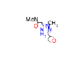 CNC(=O)/C=C(\N)N(C)/N=C/C1CCOC1